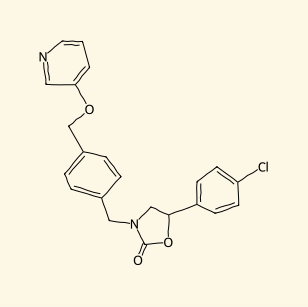 O=C1OC(c2ccc(Cl)cc2)CN1Cc1ccc(COc2cccnc2)cc1